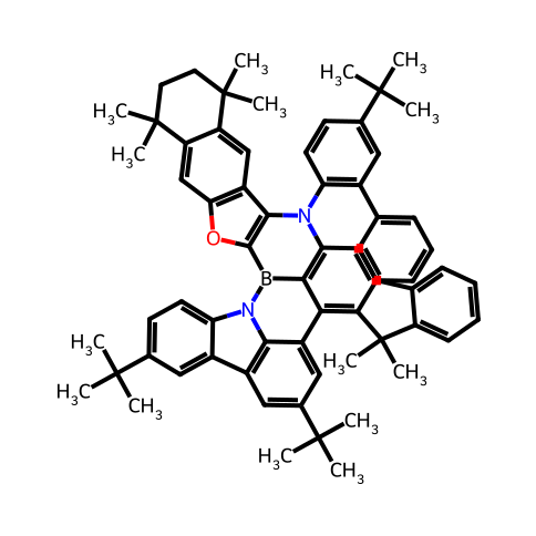 CC(C)(C)c1ccc(N2c3cc4c(c5c3B(c3oc6cc7c(cc6c32)C(C)(C)CCC7(C)C)n2c3ccc(C(C)(C)C)cc3c3cc(C(C)(C)C)cc-5c32)C(C)(C)c2ccccc2-4)c(-c2ccccc2)c1